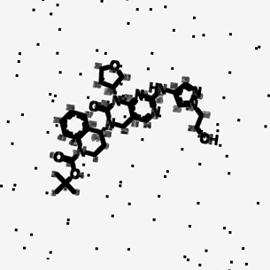 CC(C)(C)OC(=O)N1CC[C@@H](N2Cc3cnc(Nc4cnn(CCO)c4)nc3N([C@@H]3CCOC3)C2=O)c2ccccc21